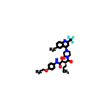 CCC[C@@H](C(=O)N1CCN(c2cc(C(F)(F)F)nc3ccc(C)cc23)CC1)[C@H](O)C(=O)Nc1ccc(OCC)cc1